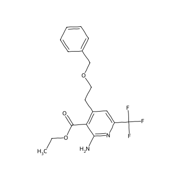 CCOC(=O)c1c(CCOCc2ccccc2)cc(C(F)(F)F)nc1N